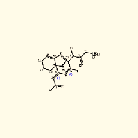 C=C(C)/C=C(\C=C(\C)CC(C)C(=C)CC(C)(C)C)C12CCCC=C1C=CS2